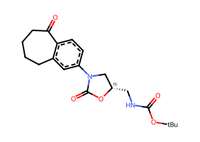 CC(C)(C)OC(=O)NC[C@H]1CN(c2ccc3c(c2)CCCCC3=O)C(=O)O1